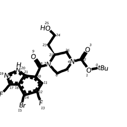 CC(C)(C)OC(=O)N1CCN(C(=O)c2cc(F)c(Br)c3c(F)n[nH]c23)[C@@H](CCO)C1